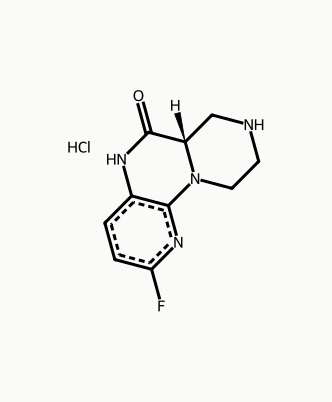 Cl.O=C1Nc2ccc(F)nc2N2CCNC[C@@H]12